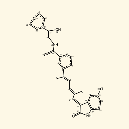 CC(=C\C=C(/C)c1cccc(C(=O)NCC(O)c2ccccc2)c1)/C=C1/C(=O)Nc2ccc(Cl)cc21